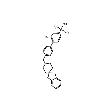 OC(c1ccc(-c2ccc(CN3CCC4(CC3)Cc3cccnc3O4)cc2)c(F)c1)(C(F)(F)F)C(F)(F)F